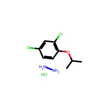 CC(C)Oc1ccc(Cl)cc1Cl.Cl.NN